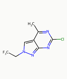 Cc1nc(Cl)nc2nn(CC(F)(F)F)cc12